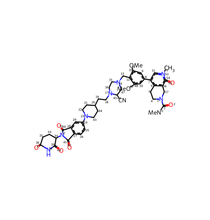 CNC(=O)N1CCc2c(-c3cc(OC)c(CN4CCN(CCC5CCN(c6ccc7c(c6)C(=O)N(C6CCC(=O)NC6=O)C7=O)CC5)C(C#N)C4)c(OC)c3)cn(C)c(=O)c2C1